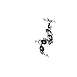 Cc1cc(Nc2ncnc3cc4c(nc23)N2CCN(C(=O)/C=C/CN(C)C)[C@H](CO4)C2)ccc1OC1=CC2N=CN(C)C2C=C1